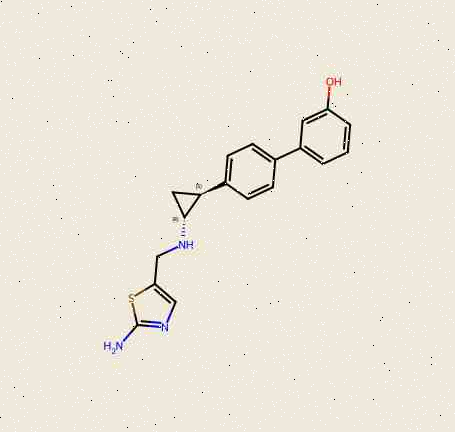 Nc1ncc(CN[C@@H]2C[C@H]2c2ccc(-c3cccc(O)c3)cc2)s1